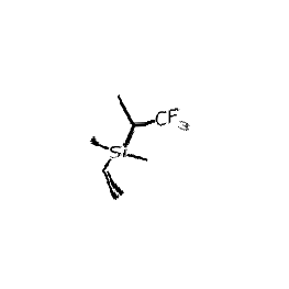 C=C[Si](C)(C)C(C)C(F)(F)F